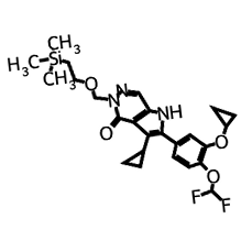 C[Si](C)(C)CCOCn1ncc2[nH]c(-c3ccc(OC(F)F)c(OC4CC4)c3)c(C3CC3)c2c1=O